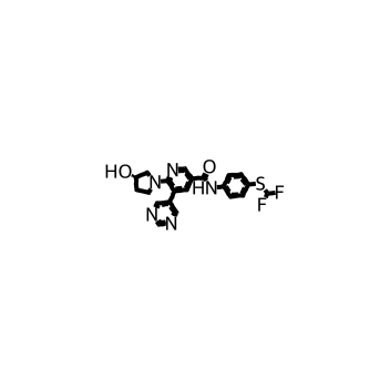 O=C(Nc1ccc(SC(F)F)cc1)c1cnc(N2CC[C@@H](O)C2)c(-c2cncnc2)c1